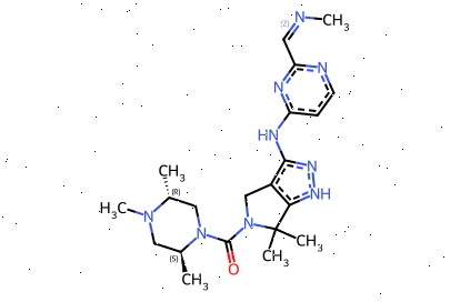 C/N=C\c1nccc(Nc2n[nH]c3c2CN(C(=O)N2C[C@@H](C)N(C)C[C@@H]2C)C3(C)C)n1